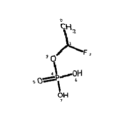 CC(F)OP(=O)(O)O